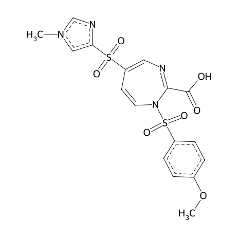 COc1ccc(S(=O)(=O)N2C=CC(S(=O)(=O)c3cn(C)cn3)=CN=C2C(=O)O)cc1